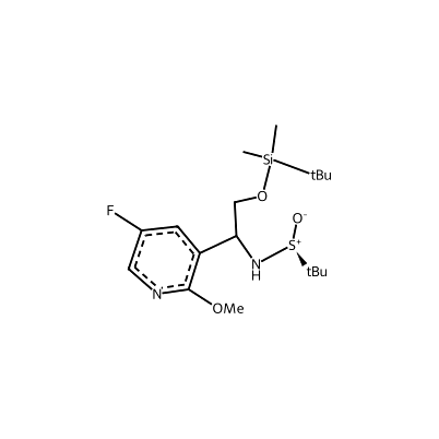 COc1ncc(F)cc1C(CO[Si](C)(C)C(C)(C)C)N[S@@+]([O-])C(C)(C)C